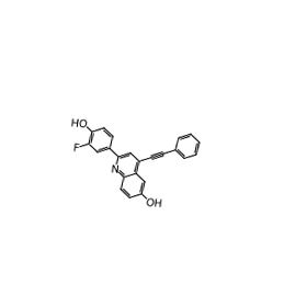 Oc1ccc2nc(-c3ccc(O)c(F)c3)cc(C#Cc3ccccc3)c2c1